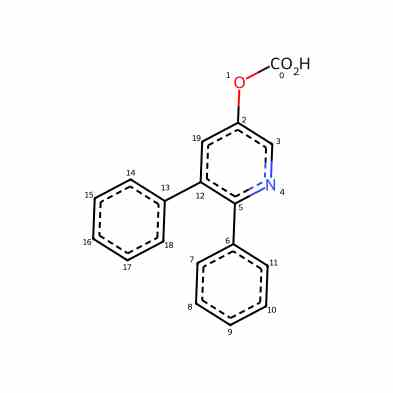 O=C(O)Oc1cnc(-c2ccccc2)c(-c2ccccc2)c1